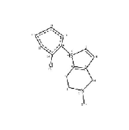 [CH2]N1CCC2=C(C=C[SH]2c2ccccc2Cl)C1